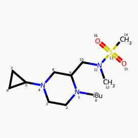 CCC(C)N1CCN(C2CC2)CC1CN(C)S(C)(=O)=O